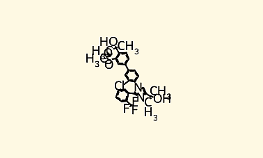 CC(C)(O)c1cn(-c2ccc(-c3ccc(C(C)(C)O)c(S(C)(=O)=O)c3)cc2Cl)c(-c2ccccc2C(F)(F)F)n1